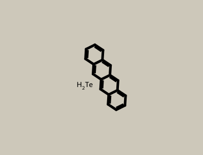 [TeH2].c1ccc2cc3cc4ccccc4cc3cc2c1